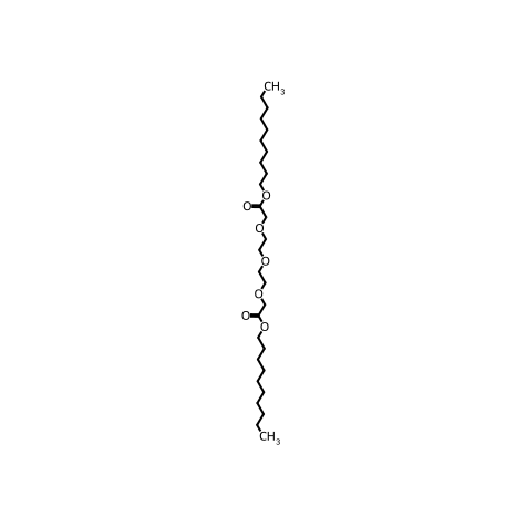 CCCCCCCCCCOC(=O)COCCOCCOCC(=O)OCCCCCCCCCC